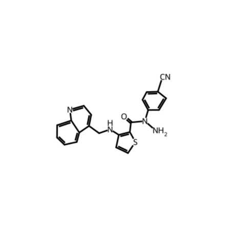 N#Cc1ccc(N(N)C(=O)c2sccc2NCc2ccnc3ccccc23)cc1